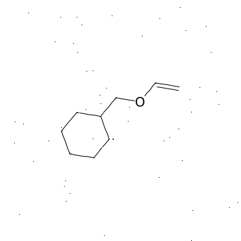 C=COCC1[CH]CCCC1